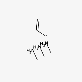 CN.CN.CN.[CH2]C=C